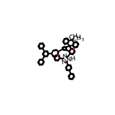 CC1(C)c2ccccc2C2(c3ccc(C4=CC=CC(c5cc(-c6ccccc6)cc(-c6ccccc6)c5)C=C4)cc3-c3c(C4=NC(c5ccccc5)=NC(c5ccc(-c6ccccc6)cc5)N4)cccc32)c2ccccc21